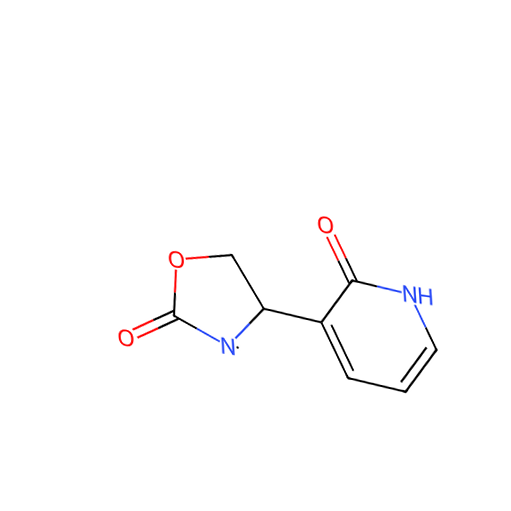 O=C1[N]C(c2ccc[nH]c2=O)CO1